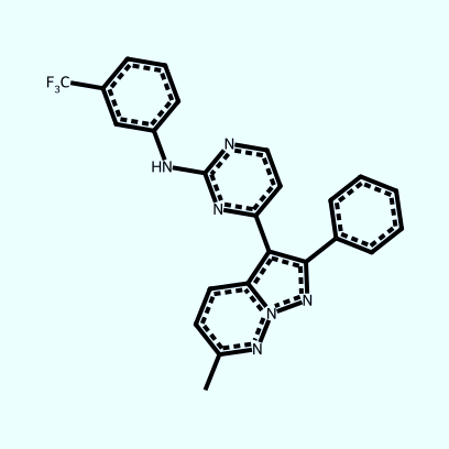 Cc1ccc2c(-c3ccnc(Nc4cccc(C(F)(F)F)c4)n3)c(-c3ccccc3)nn2n1